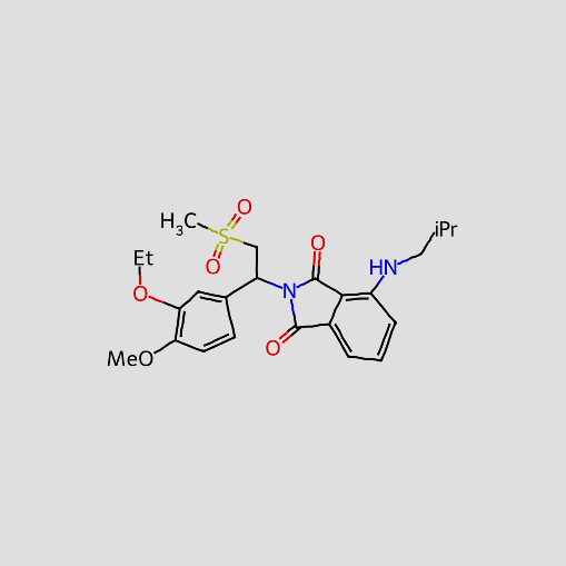 CCOc1cc(C(CS(C)(=O)=O)N2C(=O)c3cccc(NCC(C)C)c3C2=O)ccc1OC